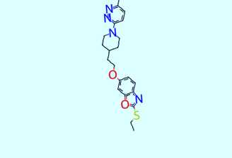 CCSc1nc2ccc(OCCC3CCN(c4ccc(C)nn4)CC3)cc2o1